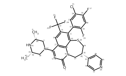 C[C@@H]1CN(c2nc(=O)n3c4c(c(-c5cc(Cl)c(F)cc5F)c(C(F)(F)F)cc24)SC[C@H](c2ccncc2)C3)C[C@H](C)N1